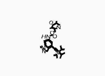 COc1c(C)cnc(COC(=O)Nc2cc(C#C[Si](C(C)C)(C(C)C)C(C)C)c3cnn(C)c3c2)c1C